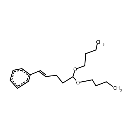 CCCCOC(CC/C=C/c1ccccc1)OCCCC